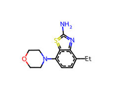 CCc1ccc(N2CCOCC2)c2sc(N)nc12